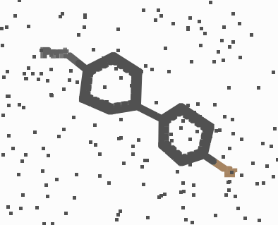 [CH2]CCC(C)c1ccc(-c2ccc(Br)cc2)cc1